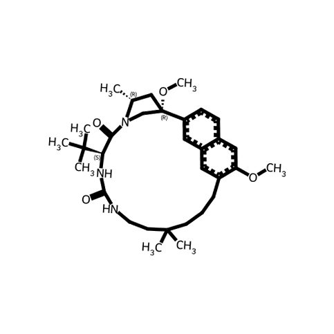 COc1cc2ccc3cc2cc1CCCC(C)(C)CCNC(=O)N[C@@H](C(C)(C)C)C(=O)N1C[C@@]3(OC)C[C@H]1C